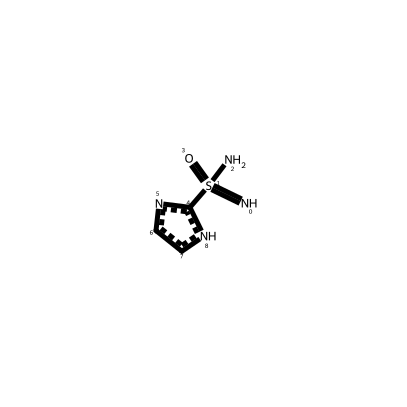 N=S(N)(=O)c1ncc[nH]1